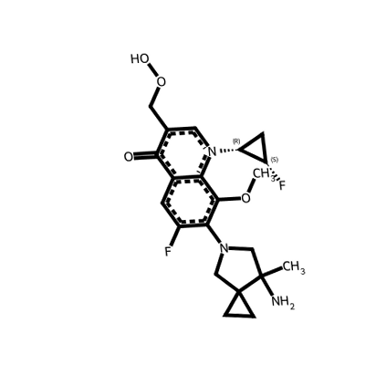 COc1c(N2CC(C)(N)C3(CC3)C2)c(F)cc2c(=O)c(COO)cn([C@@H]3C[C@@H]3F)c12